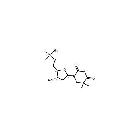 CC1(I)CN([C@H]2C[C@H](O)[C@@H](CO[Si](C)(C)C(C)(C)C)O2)C(=O)NC1=O